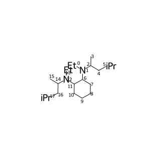 CCN(C(C)CC(C)C)C1CCCCC1N(CC)C(C)CC(C)C